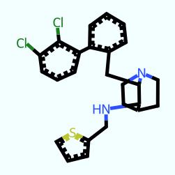 Clc1cccc(-c2ccccc2CC2C(NCc3cccs3)C3CCN2CC3)c1Cl